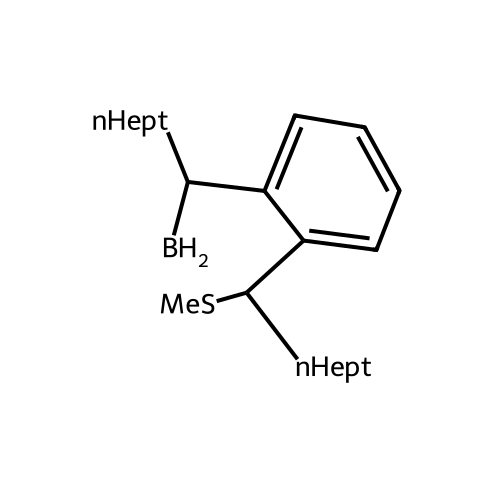 BC(CCCCCCC)c1ccccc1C(CCCCCCC)SC